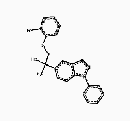 CC(C)c1ccccc1SCC(O)(c1ccc2c(cnn2-c2ccccc2)c1)C(F)(F)F